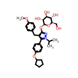 COc1ccc(Cc2c(O[C@@H]3O[C@H](CO)[C@@H](O)[C@H](O)[C@H]3O)nn(C(C)C)c2-c2ccc(OC3CCCC3)cc2)cc1